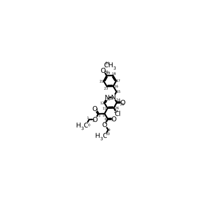 CCOC(=O)C(C(=O)OCC)c1cnn(Cc2ccc(OC)cc2)c(=O)c1Cl